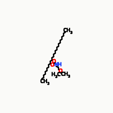 CCCCCCCCCCCCCCCCCC(CCCCCCCCCCCC)OC(=O)NCCCOC(C)C